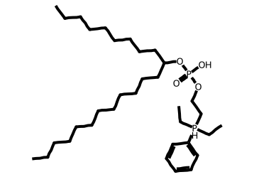 CCCCCCCCCCCCC(CCCCCCCCC)OP(=O)(O)OCC[PH](CC)(CC)c1ccccc1